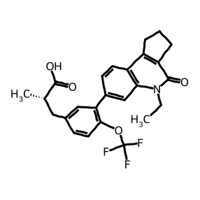 CCn1c(=O)c2c(c3ccc(-c4cc(C[C@H](C)C(=O)O)ccc4OC(F)(F)F)cc31)CCC2